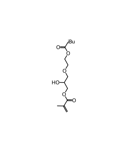 C=C(C)C(=O)OCC(O)COCCOC(=O)C(C)CC